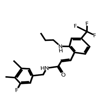 CCCNc1cc(C(F)(F)F)ccc1/C=C/C(=O)NCc1cc(C)c(C)c(F)c1